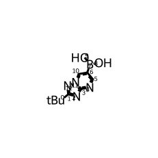 CC(C)(C)c1nc2ncc(B(O)O)cn2n1